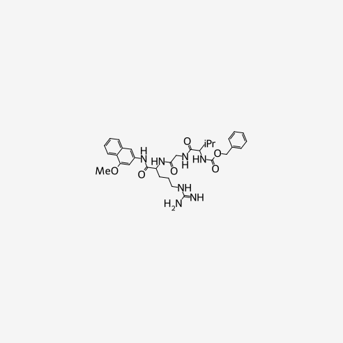 COc1cc(NC(=O)C(CCCNC(=N)N)NC(=O)CNC(=O)C(NC(=O)OCc2ccccc2)C(C)C)cc2ccccc12